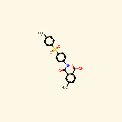 Cc1ccc(S(=O)(=O)c2ccc(NC(=O)c3cc(C)ccc3C(=O)O)cc2)cc1